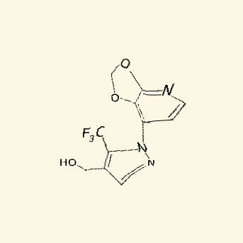 OCc1cnn(-c2ccnc3c2OCO3)c1C(F)(F)F